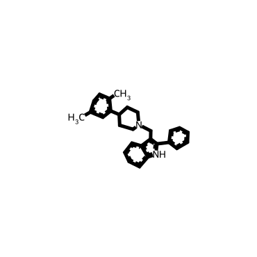 Cc1ccc(C)c(C2CCN(Cc3c(-c4ccccc4)[nH]c4ccccc34)CC2)c1